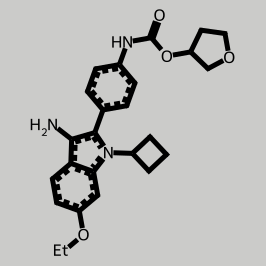 CCOc1ccc2c(N)c(-c3ccc(NC(=O)OC4CCOC4)cc3)n(C3CCC3)c2c1